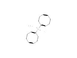 C[O][Ir]([O]C)([C]1=CCCC=CCC1)[C]1=CCCC=CCC1